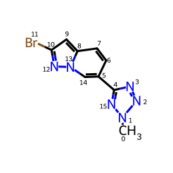 Cn1nnc(-c2ccc3cc(Br)nn3c2)n1